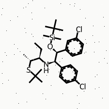 CC[C@@H](N[C@H](c1ccc(Cl)cc1)[C@@H](O[Si](C)(C)C(C)(C)C)c1cccc(Cl)c1)[C@@H](C)SC(C)(C)C